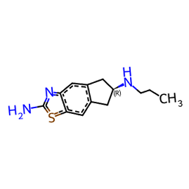 CCCN[C@@H]1Cc2cc3nc(N)sc3cc2C1